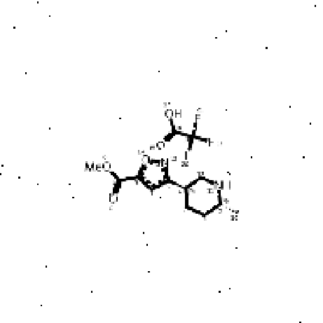 COC(=O)c1cc([C@@H]2CC[C@@H](C)NC2)no1.O=C(O)C(F)(F)F